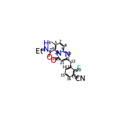 CCNC(=O)c1c(C)ccc2nc(Cc3cccc(C#N)c3F)cc(=O)n12